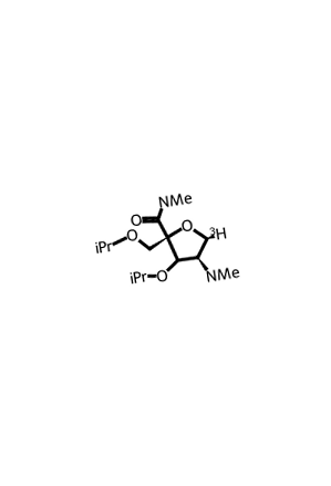 [3H][C@@H]1O[C@@](COC(C)C)(C(=O)NC)C(OC(C)C)[C@@H]1NC